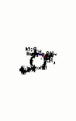 COCCC1(C)C2=Nc3c1cc(Br)c[n+]3CCCCCC(=O)NC(C(=O)NCCOCCC(=O)ON1C(=O)CCC1=O)CCCCNC(=O)CCCCCN1/C(=C/C=C/C=C/2)C(C)(CCOC)c2cc(S(=O)(=O)[O-])cc(C)c21